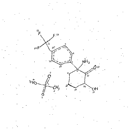 CS(=O)(=O)O.NC1(c2ccc(C(F)(F)F)cc2)CCCC(O)C1=O